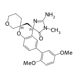 COc1ccc(OC)c(-c2ccc3c(c2)[C@]2(C[C@@]4(CCCOC4)O3)N=C(N)N(C)C2=O)c1